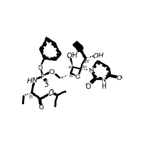 C#C[C@H](O)[C@@]1(n2ccc(=O)[nH]c2=O)O[C@H](COP(=S)(N[C@@H](CC)C(=O)OC(C)C)Oc2ccccc2)[C@H]1O